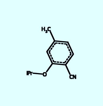 Cc1ccc(C#N)c(OC(C)C)c1